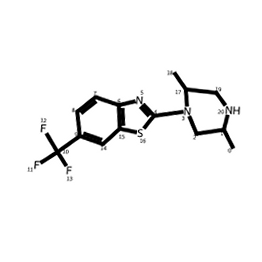 CC1CN(c2nc3ccc(C(F)(F)F)cc3s2)C(C)CN1